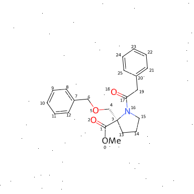 COC(=O)[C@]1(COCc2ccccc2)CCCN1C(=O)Cc1ccccc1